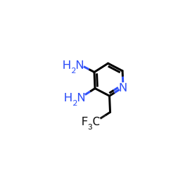 Nc1ccnc(CC(F)(F)F)c1N